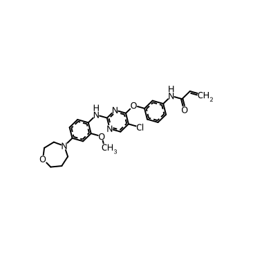 C=CC(=O)Nc1cccc(Oc2nc(Nc3ccc(N4CCCOCC4)cc3OC)ncc2Cl)c1